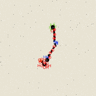 O=C(CCOCCOCCOCc1cn(CCOCCOCCC(=O)Oc2c(F)c(F)c(F)c(F)c2F)nn1)Nc1ccc(O[C@H]2O[C@H](CCP(=O)(O)O)[C@@H](O)[C@H](O)[C@@H]2O)cc1